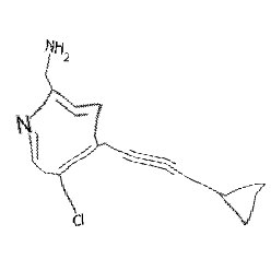 Nc1cc(C#CC2CC2)c(Cl)cn1